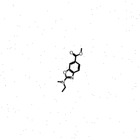 CCN(C)c1nc2ccc(C(=O)OC)cc2o1